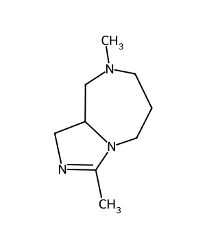 CC1=NCC2CN(C)CCCN12